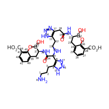 NCCCc1[nH]nnc1C(NCCc1[nH]nnc1CC(=O)N[C@H]1Cc2cccc(C(=O)O)c2OB1O)C(=O)N[C@H]1Cc2cccc(C(=O)O)c2OB1O